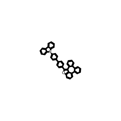 c1ccc2c(c1)-c1ccccc1-c1c(-c3ccc(-c4ccc(-n5c6ccccc6c6ccccc65)cc4)cc3)oc3cccc-2c13